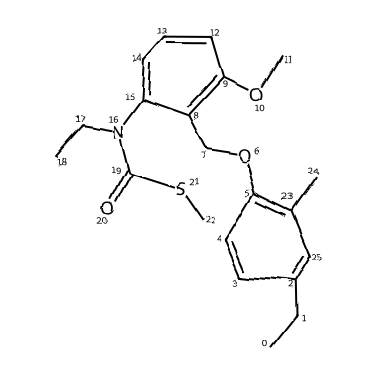 CCc1ccc(OCc2c(OC)cccc2N(CC)C(=O)SC)c(C)c1